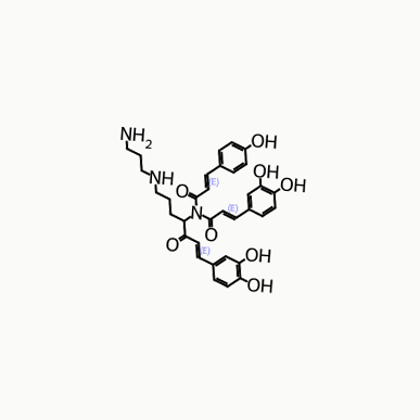 NCCCNCCCC(C(=O)/C=C/c1ccc(O)c(O)c1)N(C(=O)/C=C/c1ccc(O)cc1)C(=O)/C=C/c1ccc(O)c(O)c1